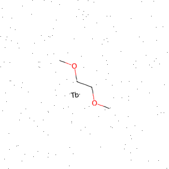 COCCOC.[Tb]